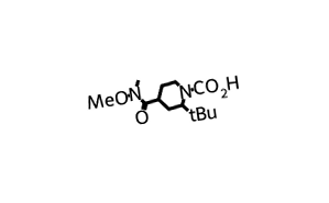 CON(C)C(=O)C1CCN(C(=O)O)C(C(C)(C)C)C1